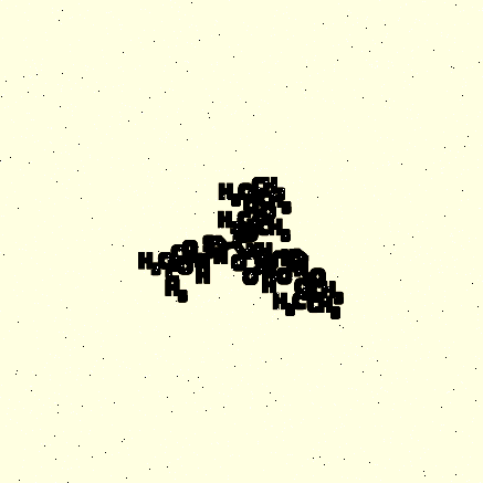 CC(C)(C)OC(=O)Nc1nc(C(=NOC(C)(C)C(=O)OC(C)(C)C)C(=O)N[C@@H]2C(=O)N[C@@H]2Cn2ccn(C(=O)OC(C)(C)C)c2=O)cs1